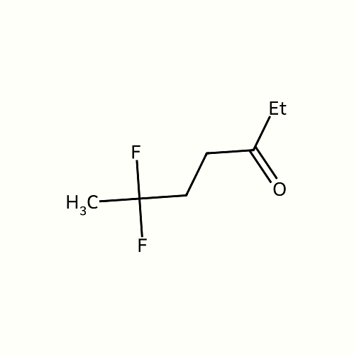 CCC(=O)CCC(C)(F)F